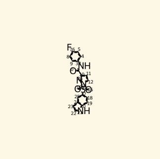 O=C(Nc1ccc(F)cc1)c1ccn(S(=O)(=O)c2ccc3[nH]ccc3c2)n1